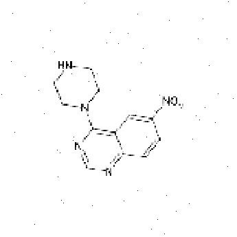 O=[N+]([O-])c1ccc2ncnc(N3CCNCC3)c2c1